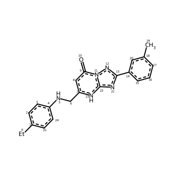 CCc1ccc(NCc2cc(=O)n3nc(-c4cccc(C)c4)nc3[nH]2)cc1